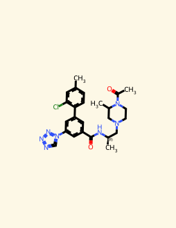 CC(=O)N1CCN(C[C@@H](C)NC(=O)c2cc(-c3ccc(C)cc3Cl)cc(-n3cnnn3)c2)CC1C